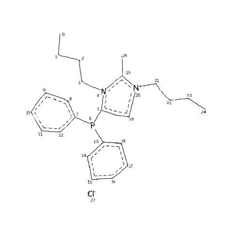 CCCCn1c(P(c2ccccc2)c2ccccc2)c[n+](CCCC)c1C.[Cl-]